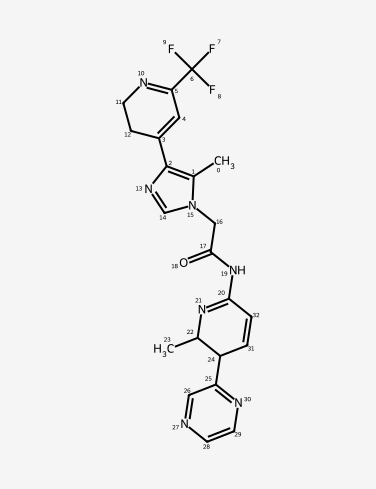 Cc1c(C2=CC(C(F)(F)F)=NCC2)ncn1CC(=O)NC1=NC(C)C(c2cnccn2)C=C1